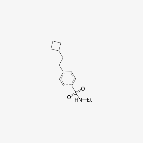 CCNS(=O)(=O)c1ccc(CCC2CCC2)cc1